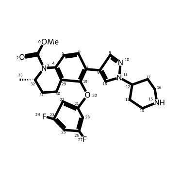 COC(=O)N1c2ccc(-c3cnn(C4CCNCC4)c3)c(Oc3cc(F)cc(F)c3)c2CC[C@@H]1C